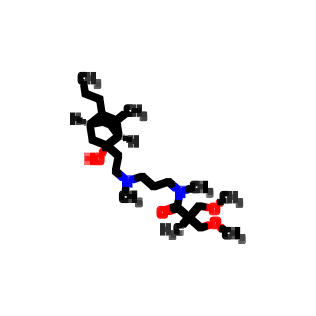 CCCC1=C(C)[C@H]2CC[C@@H]1C[C@@]2(O)CCN(C)CCCN(C)C(=O)C(C)(COC)COC